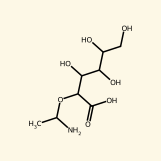 CC(N)OC(C(=O)O)C(O)C(O)C(O)CO